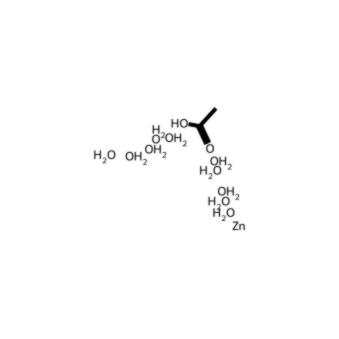 CC(=O)O.O.O.O.O.O.O.O.O.O.O.[Zn]